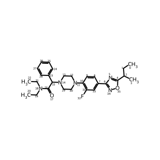 CCC(C)c1nc(-c2ccc(N3CCN(C(C(=O)N(CC)CC)c4ccccc4)CC3)c(F)c2)no1